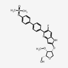 CO[C@H]1[C@@H](CO)OC[C@H]1Oc1cc2nc(-c3ccc(-c4ccc(N=S(C)(C)=O)cc4)cc3)c(F)cc2[nH]1